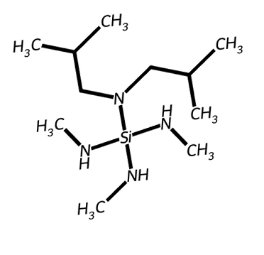 CN[Si](NC)(NC)N(CC(C)C)CC(C)C